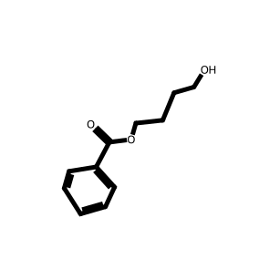 O=C(OCCCCO)c1ccccc1